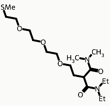 CCN(CC)C(=O)C(CCOCCOCCOCCSC)C(=O)N(C)C